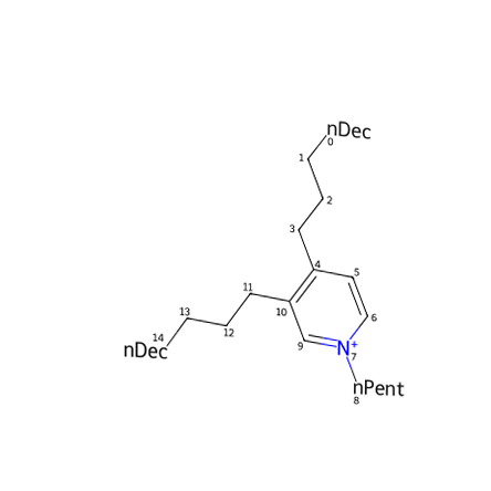 CCCCCCCCCCCCCc1cc[n+](CCCCC)cc1CCCCCCCCCCCCC